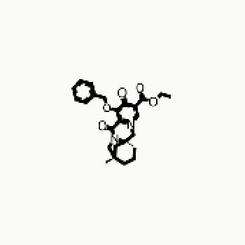 CCOC(=O)c1cn2c(c(OCc3ccccc3)c1=O)C(=O)N1C[C@@]3(C)CCC[C@]1(C2)C3